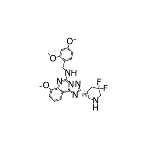 COc1ccc(CNc2nc3c(OC)cccc3c3nc([C@H]4CNCC(F)(F)C4)nn23)c(OC)c1